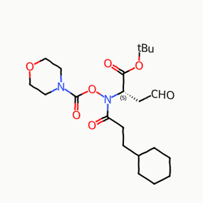 CC(C)(C)OC(=O)[C@H](CC=O)N(OC(=O)N1CCOCC1)C(=O)CCC1CCCCC1